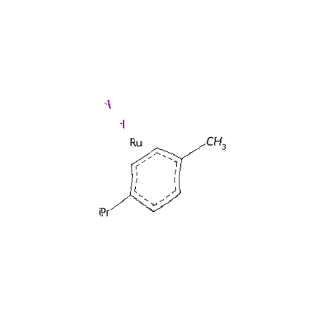 Cc1ccc(C(C)C)cc1.[I].[I].[Ru]